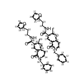 Cc1nc2ccn(Cc3ccccc3)c(=O)c2cc1C(=O)NCCc1ccco1.Cc1nc2ccn(Cc3ccccc3)c(=O)c2cc1C(=O)NCCc1ccco1